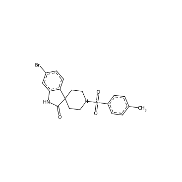 Cc1ccc(S(=O)(=O)N2CCC3(CC2)C(=O)Nc2cc(Br)ccc23)cc1